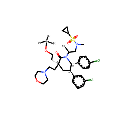 CCC(CN(C)S(=O)(=O)C1CC1)N1C(=O)[C@](CCO[Si](C(C)C)(C(C)C)C(C)C)(CCN2CCOCC2)C[C@H](c2cccc(Cl)c2)[C@H]1c1ccc(Cl)cc1